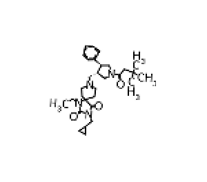 CCN1C(=O)N(CC2CC2)C(=O)C12CCN(C[C@H]1CN(C(=O)CC(C)(C)C)C[C@@H]1c1ccccc1)CC2